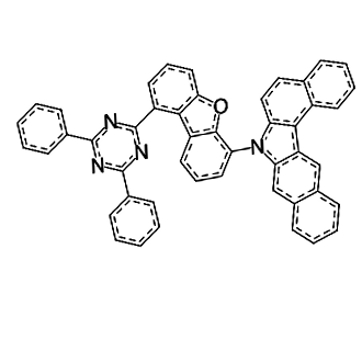 c1ccc(-c2nc(-c3ccccc3)nc(-c3cccc4oc5c(-n6c7cc8ccccc8cc7c7c8ccccc8ccc76)cccc5c34)n2)cc1